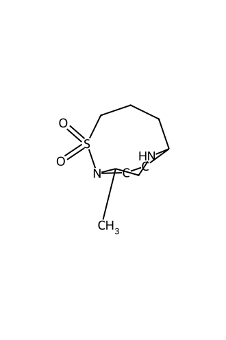 CC1CNC2CCCS(=O)(=O)N1CC2